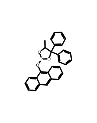 CC1OP(Oc2c3ccccc3cc3ccccc23)OC1(c1ccccc1)c1ccccc1